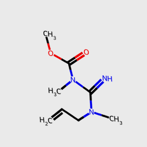 C=CCN(C)C(=N)N(C)C(=O)OC